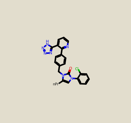 CCCc1cn(-c2ccccc2Cl)c(=O)n1Cc1ccc(-c2ncccc2-c2nnn[nH]2)cc1